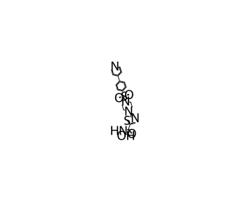 O=C(NO)c1cnc(N2CCN(S(=O)(=O)c3ccc(-c4ccncc4)cc3)CC2)s1